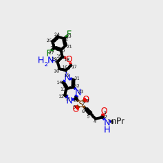 CCCNC(=O)CC#CS(=O)(=O)c1ncc2cn([C@H]3COC(c4cc(F)ccc4F)[C@@H](N)C3)cc2n1